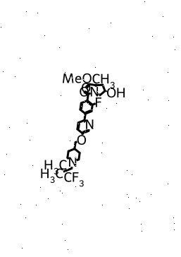 COC(=O)[C@]1(C)C[C@@H](O)CN1C(=O)c1ccc(-c2ccc(OCC3CCN(CC(C)(C)C(F)(F)F)CC3)cn2)cc1F